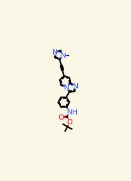 Cn1cncc1C#Cc1ccn2c(-c3cccc(NC(=O)OC(C)(C)C)c3)cnc2c1